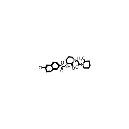 CC1CCCCN1C(=O)CN1CCC[C@H](NS(=O)(=O)c2ccc3cc(Cl)ccc3c2)C1=O